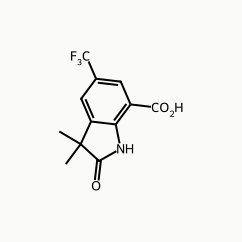 CC1(C)C(=O)Nc2c(C(=O)O)cc(C(F)(F)F)cc21